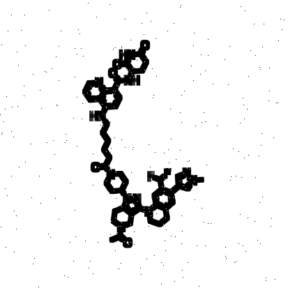 CC(=O)N1CCc2c(c(N3CCCc4cc(-c5cnn(C)c5)c(C(F)F)cc43)nn2C2CCN(C(=O)CCCCCNc3ccc(C(=O)NC4CCC(=O)NC4=O)c4ncccc34)CC2)C1